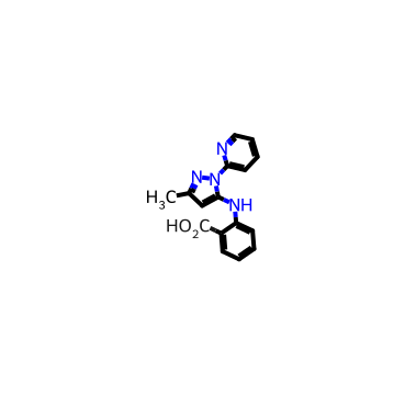 Cc1cc(Nc2ccccc2C(=O)O)n(-c2ccccn2)n1